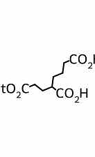 CCOC(=O)CCC(CCCC(=O)O)C(=O)O